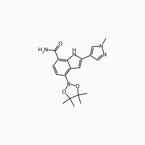 Cn1cc(-c2cc3c(B4OC(C)(C)C(C)(C)O4)ccc(C(N)=O)c3[nH]2)cn1